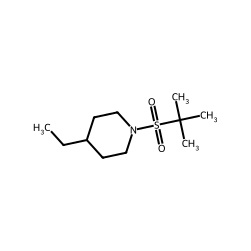 CCC1CCN(S(=O)(=O)C(C)(C)C)CC1